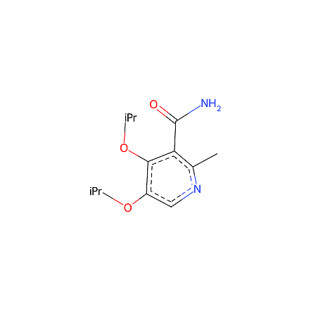 Cc1ncc(OC(C)C)c(OC(C)C)c1C(N)=O